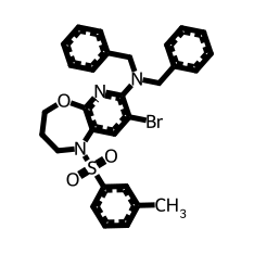 Cc1cccc(S(=O)(=O)N2CCCOc3nc(N(Cc4ccccc4)Cc4ccccc4)c(Br)cc32)c1